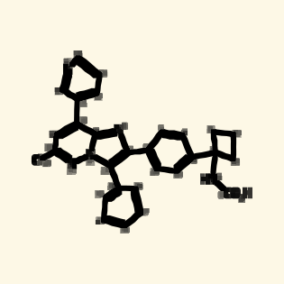 O=C(O)NC1(c2ccc(-c3nc4c(-c5cccnc5)cc(Cl)nn4c3-c3ccccc3)cc2)CCC1